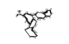 C[SiH](C)c1cc2c3ccccc3n3c4cc5ccccc5cc4c(c1)c23